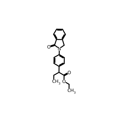 CCOC(=O)C(CC)c1ccc(N2Cc3ccccc3C2=O)cc1